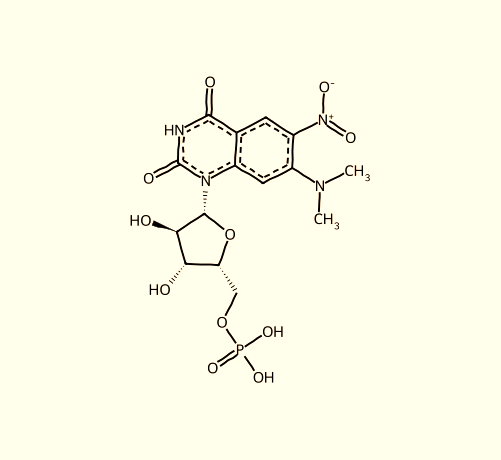 CN(C)c1cc2c(cc1[N+](=O)[O-])c(=O)[nH]c(=O)n2[C@@H]1O[C@H](COP(=O)(O)O)[C@H](O)[C@H]1O